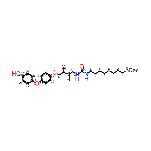 CCCCCCCCCCCCCCCCCCNC(=O)NCNC(=O)COc1ccc(Oc2ccc(O)cc2)cc1